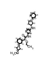 CCO[C@@H](C(=O)Nc1nnc(N[C@@H]2CCN(c3cccnn3)C2)s1)c1cccc(N2CC(OC)C2)c1